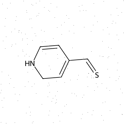 S=CC1=CCNC=C1